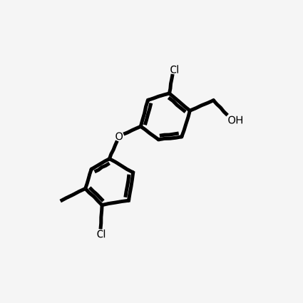 Cc1cc(Oc2ccc(CO)c(Cl)c2)ccc1Cl